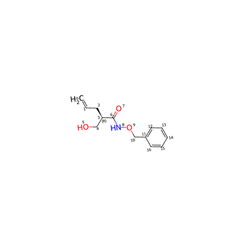 C=CC[C@H](CO)C(=O)NOCc1ccccc1